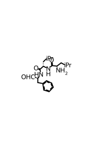 CC(C)C[C@H](NC(=O)[C@@H](N)CC(C)C)C(=O)N[C@H](C=O)Cc1ccccc1